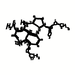 COC(=O)[C@@H]1CC[C@H](Nc2c(N)cnc3c(OC)cccc23)C1